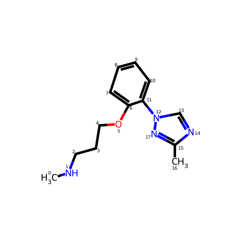 CNCCCOc1ccccc1-n1cnc(C)n1